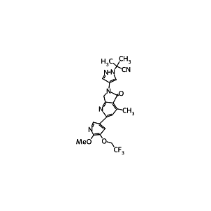 COc1ncc(-c2cc(C)c3c(n2)CN(c2cnn(C(C)(C)C#N)c2)C3=O)cc1OCC(F)(F)F